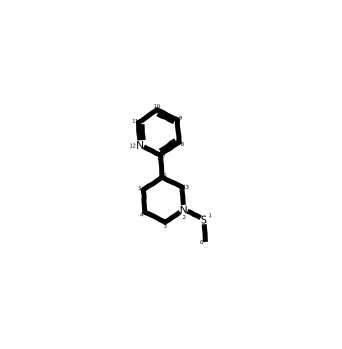 CSN1CCCC(c2ccccn2)C1